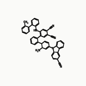 Cc1ccccc1-c1ccccc1Nc1cc(C#N)c(C#N)cc1-c1ccccc1C1C=CC(n2c3ccccc3c3cc(C#N)ccc32)=CC1N